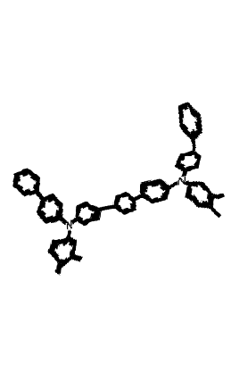 Cc1ccc(N(c2ccc(-c3ccccc3)cc2)c2ccc(-c3ccc(-c4ccc(N(c5ccc(-c6ccccc6)cc5)c5ccc(C)c(C)c5)cc4)cc3)cc2)cc1C